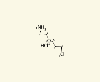 Cl.NCCOCCCCl